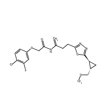 C=C(CCc1nnc([C@H]2C[C@@H]2COC(F)(F)F)o1)NC(=O)COc1ccc(Cl)c(F)c1